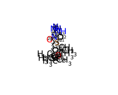 CC(C)(C)c1cc(C=C2Sc3ccccc3N(Cc3nnn[nH]3)C2=O)cc(C(C)(C)C)c1O[Si](C)(C)C